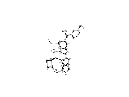 COc1cc(C(O)N2CCC[C@@H](N)C2)cc2nc(-c3cc4cnn(C)c4n3CC3CCC3)n(C)c12